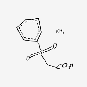 O=C(O)CS(=O)(=O)c1ccccc1.[AlH3]